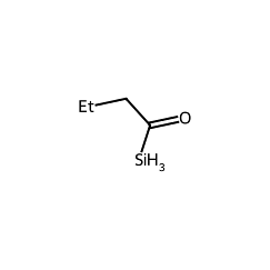 CCCC(=O)[SiH3]